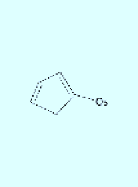 [Os][C]1=CC=CC1